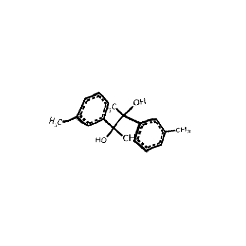 Cc1cccc(C(C)(O)C(C)(O)c2cccc(C)c2)c1